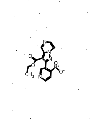 CCOC(=O)c1c(-c2cnccc2[N+](=O)[O-])nn2ccncc12